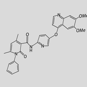 COc1cc2nccc(Oc3ccc(NC(=O)c4c(C)cc(C)n(-c5ccccc5)c4=O)nc3)c2cc1OC